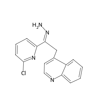 N/N=C(/Cc1ccnc2ccccc12)c1cccc(Cl)n1